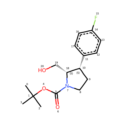 CC(C)(C)OC(=O)N1CC[C@@H](c2ccc(F)cc2)[C@H]1CO